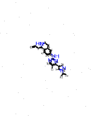 C=CCC1NCCc2cc(Nc3ncc(C)c(-c4cnn(C(C)C)c4)n3)ccc21